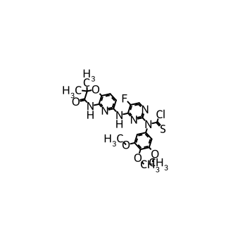 COc1cc(N(C(=S)Cl)c2ncc(F)c(Nc3ccc4c(n3)NC(=O)C(C)(C)O4)n2)cc(OC)c1OC